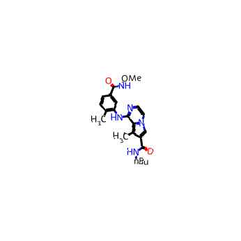 CCCCNC(=O)c1cn2ccnc(Nc3cc(C(=O)NOC)ccc3C)c2c1C